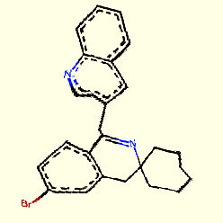 Brc1ccc2c(c1)CC1(CCCCC1)N=C2c1cnc2ccccc2c1